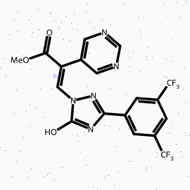 COC(=O)/C(=C/n1nc(-c2cc(C(F)(F)F)cc(C(F)(F)F)c2)nc1O)c1cncnc1